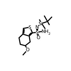 COC1CCc2csc(S(N)(=O)=N[Si](C)(C)C(C)(C)C)c2C1